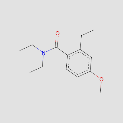 CCc1cc(OC)ccc1C(=O)N(CC)CC